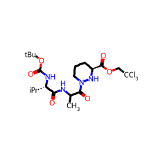 CC(NC(=O)[C@@H](NC(=O)OC(C)(C)C)C(C)C)C(=O)N1CCC[C@@H](C(=O)OCC(Cl)(Cl)Cl)N1